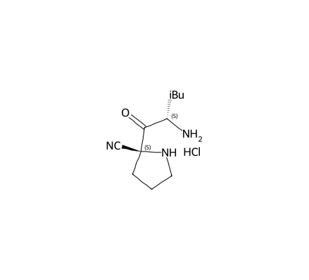 CCC(C)[C@H](N)C(=O)[C@@]1(C#N)CCCN1.Cl